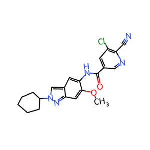 COc1cc2nn(C3CCCCC3)cc2cc1NC(=O)c1cnc(C#N)c(Cl)c1